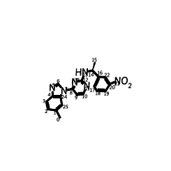 Cc1ccc2ncn(-c3ccnc(N[C@@H](C)c4cccc([N+](=O)[O-])c4)n3)c2c1